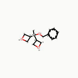 C[Si](OCc1ccccc1)(C1COC1)C1COC1